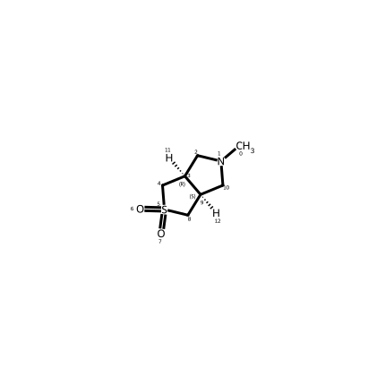 CN1C[C@@H]2CS(=O)(=O)C[C@@H]2C1